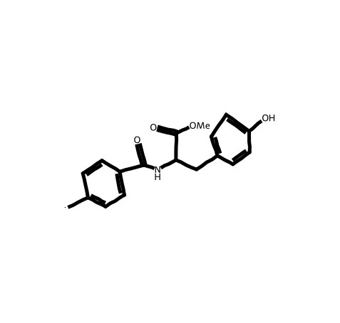 [CH2]c1ccc(C(=O)NC(Cc2ccc(O)cc2)C(=O)OC)cc1